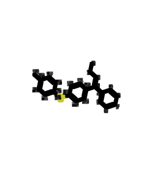 CC/C=C(/c1ccccc1)c1ccc(Sc2ccc(C)cc2)cc1